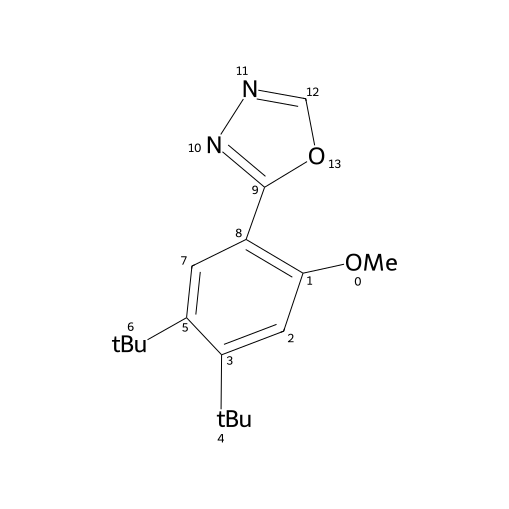 COc1cc(C(C)(C)C)c(C(C)(C)C)cc1-c1nnco1